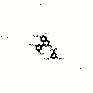 COc1cc(OC)cc(C(=O)OC[C@@H]2Cc3cc(OC)c(OC)cc3C(c3cc(OC)cc(OC)c3)=N2)c1